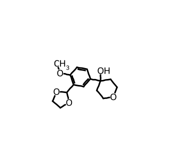 COc1ccc(C2(O)CCOCC2)cc1C1OCCO1